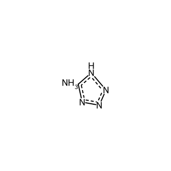 N.c1nnn[nH]1